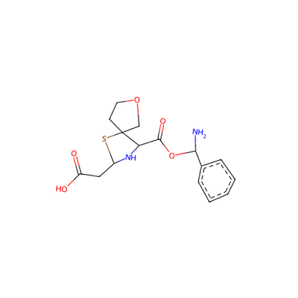 NC(OC(=O)C1NC(CC(=O)O)SC12CCOC2)c1ccccc1